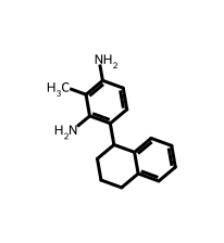 Cc1c(N)ccc(C2CCCc3ccccc32)c1N